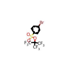 O=S(=O)(OC(C(F)(F)F)(C(F)(F)F)C(F)(F)F)c1ccc(Br)cc1